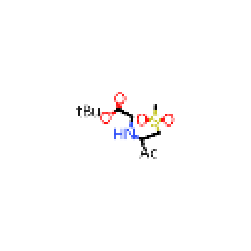 CC(=O)C(CS(C)(=O)=O)NCC(=O)OC(C)(C)C